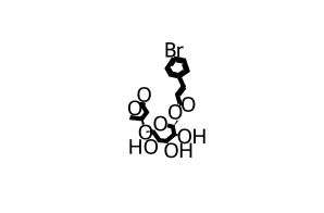 O=C(/C=C/c1ccc(Br)cc1)OC[C@H]1O[C@@H](O[C@H]2COC(=O)C2)[C@H](O)[C@@H](O)[C@@H]1O